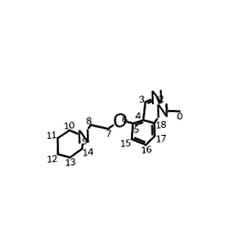 Cn1ncc2c(OCCN3CCCCC3)cccc21